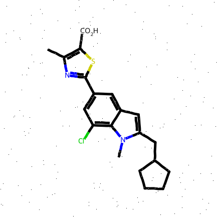 Cc1nc(-c2cc(Cl)c3c(c2)cc(CC2CCCC2)n3C)sc1C(=O)O